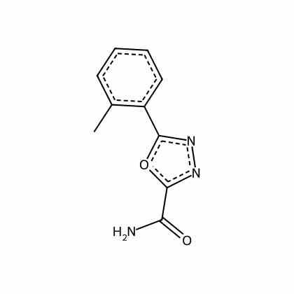 Cc1ccccc1-c1nnc(C(N)=O)o1